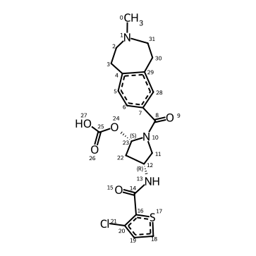 CN1CCc2ccc(C(=O)N3C[C@H](NC(=O)c4sccc4Cl)C[C@@H]3OC(=O)O)cc2CC1